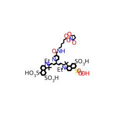 CCN1/C(=C/C=C(/C=C/C2=[N+](CC)c3ccc4c(SOOO)cc(S(=O)(=O)O)cc4c3C2(C)C)c2ccc(C(=O)NCCCCCC(=O)ON3C(=O)CCC3=O)cn2)C(C)(C)c2c1ccc1c(S(=O)(=O)O)cc(S(=O)(=O)O)cc21